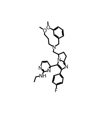 CCNc1nccc(-c2c(-c3ccc(F)cc3)nc3n2C(CN(CCCOC)Cc2cccc(OC)c2)CC3)n1